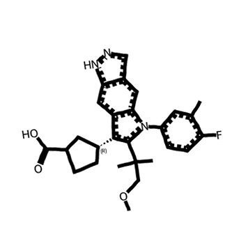 COCC(C)(C)c1c([C@@H]2CCC(C(=O)O)C2)c2cc3[nH]ncc3cc2n1-c1ccc(F)c(C)c1